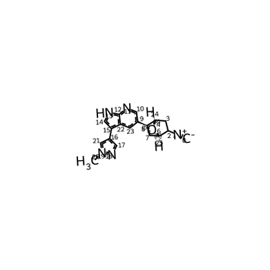 [C-]#[N+]C1C[C@H]2O[C@@H]1C[C@H]2c1cnc2[nH]cc(-c3cnn(C)c3)c2c1